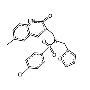 Cc1ccc2[nH]c(=O)c(CN(Cc3ccco3)S(=O)(=O)c3ccc(Cl)cc3)cc2c1